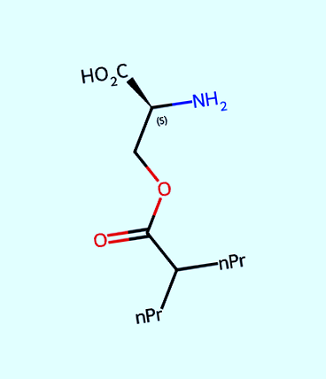 CCCC(CCC)C(=O)OC[C@H](N)C(=O)O